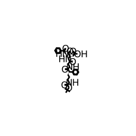 CC(C)(C)OC(=O)NCCC[C@H](C(=O)NCC(=O)N[C@@H](CC(=O)O)C(=O)NC(=O)c1ccccc1)c1ccccc1